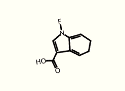 O=C(O)c1cn(F)c2c1=CCCC=2